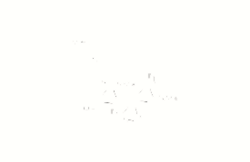 CNc1cc(-c2cc(Nc3cc(NC)c(N4CCC(N5CC(OC)C5)CC4)cc3OC)ncn2)ccc1C=N